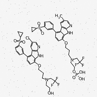 Cc1cnc2[nH]c3c(OCCCN(CCOP(=O)(O)O)CC(F)(F)F)ccc(-c4cccc(S(=O)(=O)C5CC5)c4)c3c2c1.O=S(=O)(c1cccc(-c2ccc(OCCCN(CCO)CC(F)(F)F)c3[nH]c4ncc(Cl)cc4c23)c1)C1CC1